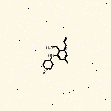 C=C/C=C1/C=C(C)C=C(NC2CCN(C)CC2)C1CN